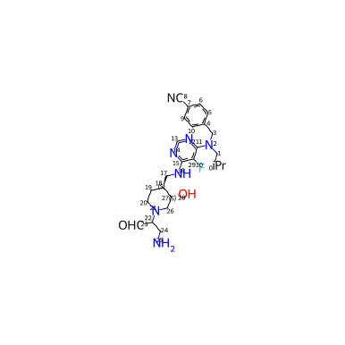 CC(C)CN(Cc1ccc(C#N)cc1)c1ncnc(NC[C@@H]2CCN(C(C=O)CN)C[C@H]2O)c1F